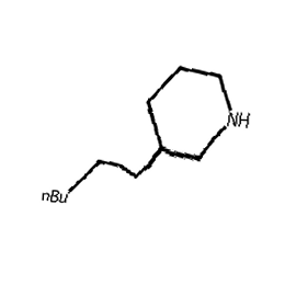 [CH2]CCCCCC1CCCNC1